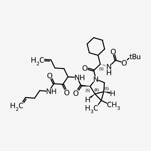 C=CCCNC(=O)C(=O)C(CCC=C)NC(=O)[C@@H]1[C@@H]2[C@H](CN1C(=O)[C@@H](NC(=O)OC(C)(C)C)C1CCCCC1)C2(C)C